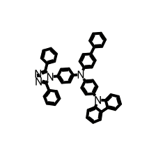 c1ccc(-c2ccc(N(c3ccc(-n4c(-c5ccccc5)nnc4-c4ccccc4)cc3)c3ccc(-n4c5ccccc5c5ccccc54)cc3)cc2)cc1